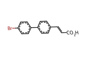 O=C(O)C=Cc1ccc(-c2ccc(Br)cc2)cc1